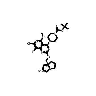 COc1nc(Cl)c(F)c2nc(OC[C@@]34CCCN3C[C@H](F)C4)nc(N3CCN(C(=O)OC(C)(C)C)CC3)c12